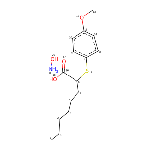 CCCCCCC(Sc1ccc(OC)cc1)C(=O)O.NO